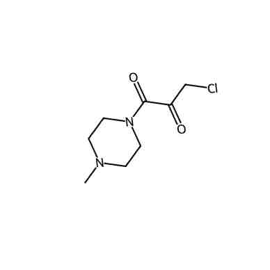 CN1CCN(C(=O)C(=O)CCl)CC1